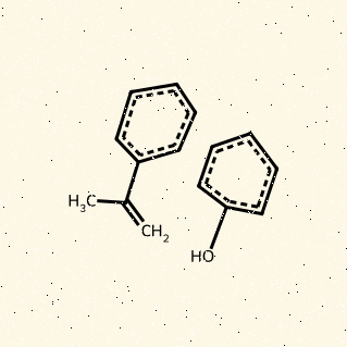 C=C(C)c1ccccc1.Oc1ccccc1